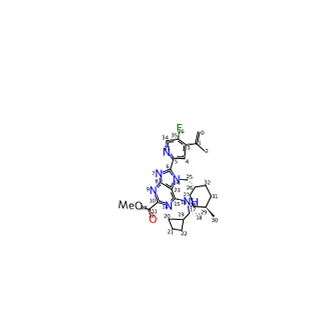 C=C(C)c1cc(-c2nc3nc(C(=O)OC)nc(N[C@H](C)C4CCC4)c3n2C[C@H]2CC[C@H](C)CC2)ncc1F